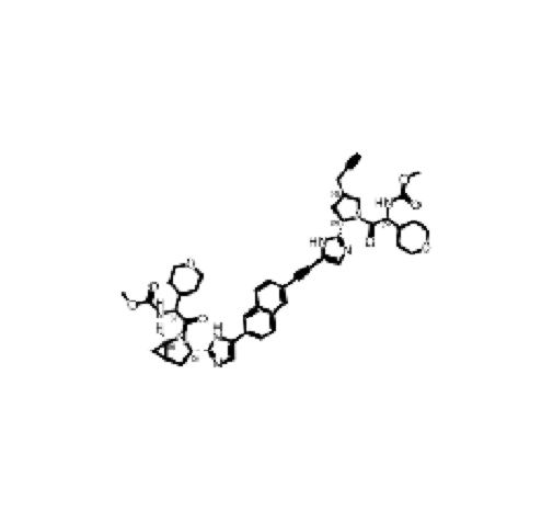 C#CC[C@@H]1C[C@@H](c2ncc(C#Cc3ccc4cc(-c5cnc([C@@H]6CC7C[C@H]7N6C(=O)[C@@H](NC(=O)OC)C6CCOCC6)[nH]5)ccc4c3)[nH]2)N(C(=O)[C@@H](NC(=O)OC)C2CCOCC2)C1